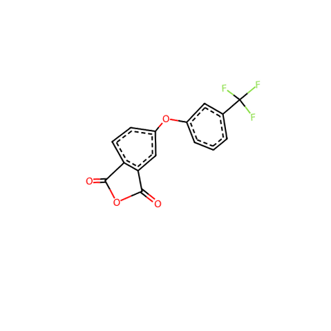 O=C1OC(=O)c2cc(Oc3cccc(C(F)(F)F)c3)ccc21